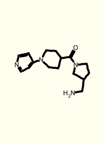 NCC1CCN(C(=O)C2CCN(c3ccncc3)CC2)C1